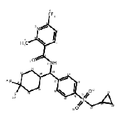 Cc1nc(C(F)(F)F)ccc1C(=O)NC(c1ccc(S(=O)(=O)CC2CC2)cc1)C1CCC(F)(F)CC1